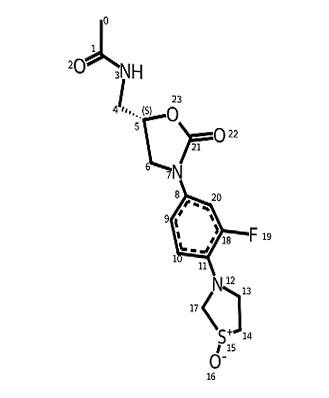 CC(=O)NC[C@H]1CN(c2ccc(N3CC[S+]([O-])C3)c(F)c2)C(=O)O1